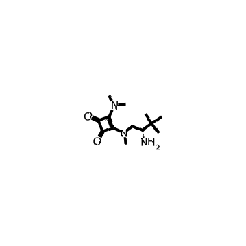 CN(C)c1c(N(C)C[C@@H](N)C(C)(C)C)c(=O)c1=O